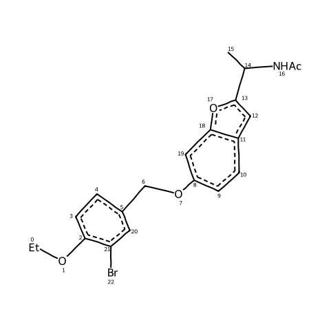 CCOc1ccc(COc2ccc3cc(C(C)NC(C)=O)oc3c2)cc1Br